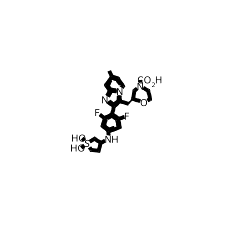 Cc1ccn2c(C[C@H]3CN(C(=O)O)CCO3)c(-c3c(F)cc(NC4CCS(O)(O)C4)cc3F)nc2c1